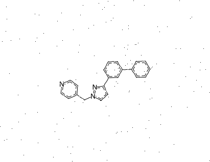 c1ccc(-c2cccc(-c3ccn(Cc4ccncc4)n3)c2)cc1